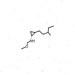 CCC(C)CCC1C[C@H]1NCOC